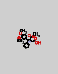 COC(=O)/C(CC(=O)O)=C(/c1ccccc1)c1ccc(OC)c(OC)c1